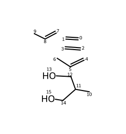 C=C.C=C.C=CC.C=CC.CC(CO)CO